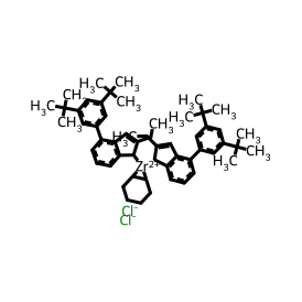 CCC1=Cc2c(-c3cc(C(C)(C)C)cc(C(C)(C)C)c3)cccc2[CH]1[Zr+2]1([CH]2C(CC)=Cc3c(-c4cc(C(C)(C)C)cc(C(C)(C)C)c4)cccc32)[CH]2CCCC[CH]21.[Cl-].[Cl-]